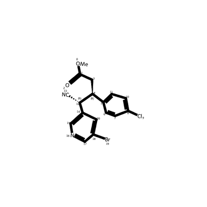 COC(=O)C[C@@H](c1ccc(Cl)cc1)[C@@H](C#N)c1cncc(Br)c1